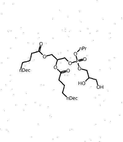 CCCCCCCCCCCCCC(=O)OCC(COP(=O)(OCCC)OCC(O)CO)OC(=O)CCCCCCCCCCCCC